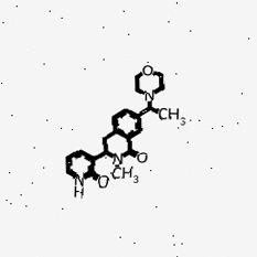 CC(c1ccc2c(c1)C(=O)N(C)C(c1ccc[nH]c1=O)C2)N1CCOCC1